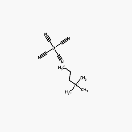 CCC[N+](C)(C)C.N#C[B-](C#N)(C#N)C#N